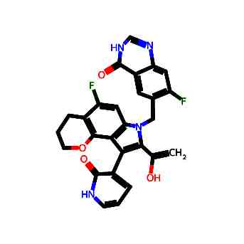 C=C(O)c1c(-c2ccc[nH]c2=O)c2c3c(c(F)cc2n1Cc1cc2c(=O)[nH]cnc2cc1F)CCCO3